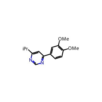 COc1ccc(-c2cc(C(C)C)ncn2)cc1OC